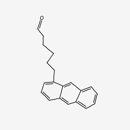 O=[C]CCCCCc1cccc2cc3ccccc3cc12